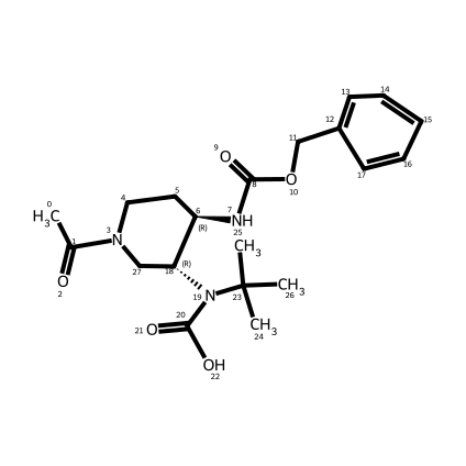 CC(=O)N1CC[C@@H](NC(=O)OCc2ccccc2)[C@H](N(C(=O)O)C(C)(C)C)C1